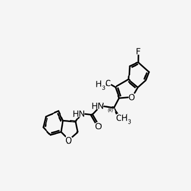 Cc1c([C@@H](C)NC(=O)NC2COc3ccccc32)oc2ccc(F)cc12